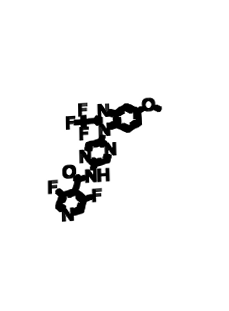 COc1ccc2c(c1)nc(C(F)(F)F)n2-c1cnc(NC(=O)c2c(F)cncc2F)cn1